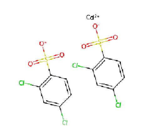 O=S(=O)([O-])c1ccc(Cl)cc1Cl.O=S(=O)([O-])c1ccc(Cl)cc1Cl.[Cd+2]